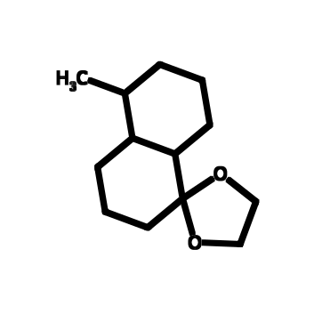 CC1CCCC2C1CCCC21OCCO1